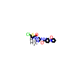 CN(C)CC(CNC(=O)c1ccc(Cl)s1)NC(=O)c1ccc(-n2ccccc2=O)cc1